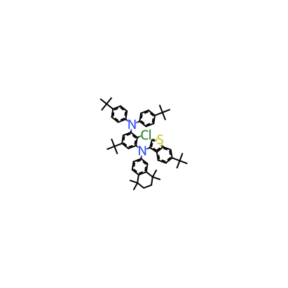 CC(C)(C)c1ccc(N(c2ccc(C(C)(C)C)cc2)c2cc(C(C)(C)C)cc(N(c3ccc4c(c3)C(C)(C)CCC4(C)C)c3csc4cc(C(C)(C)C)ccc34)c2Cl)cc1